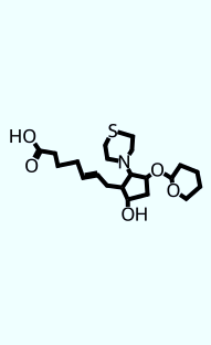 O=C(O)CCCC=CCC1C(O)CC(OC2CCCCO2)C1N1CCSCC1